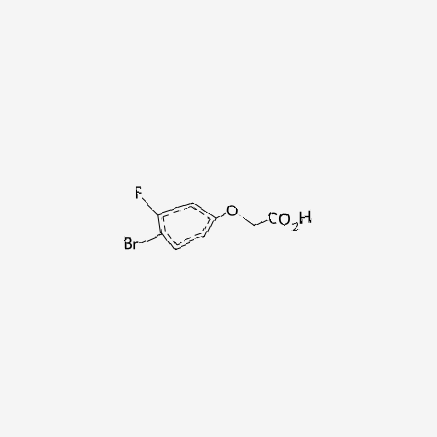 O=C(O)COc1ccc(Br)c(F)c1